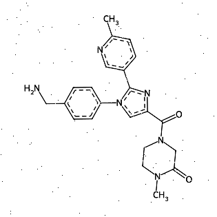 Cc1ccc(-c2nc(C(=O)N3CCN(C)C(=O)C3)cn2-c2ccc(CN)cc2)cn1